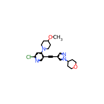 COC1CCN(c2cc(Cl)ncc2C#Cc2cnn(C3CCOCC3)c2)CC1